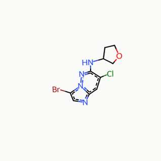 Clc1cc2ncc(Br)n2nc1NC1CCOC1